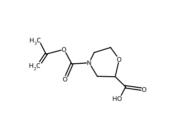 C=C(C)OC(=O)N1CCOC(C(=O)O)C1